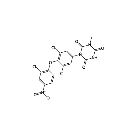 Cn1c(=O)[nH]c(=O)n(-c2cc(Cl)c(Oc3ccc([N+](=O)[O-])cc3Cl)c(Cl)c2)c1=O